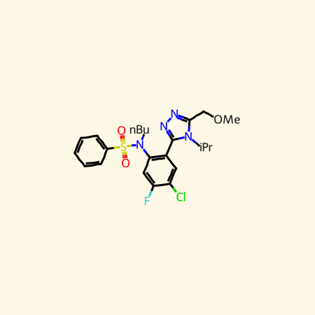 CCCCN(c1cc(F)c(Cl)cc1-c1nnc(COC)n1C(C)C)S(=O)(=O)c1ccccc1